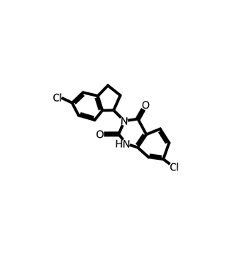 O=c1[nH]c2cc(Cl)ccc2c(=O)n1C1CCc2cc(Cl)ccc21